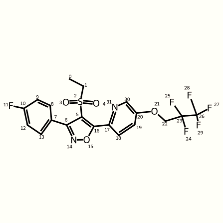 CCS(=O)(=O)c1c(-c2ccc(F)cc2)noc1-c1ccc(OCC(F)(F)C(F)(F)F)cn1